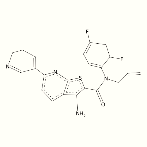 C=CCN(C(=O)c1sc2nc(C3=CCCN=C3)ccc2c1N)C1=CC=C(F)CC1F